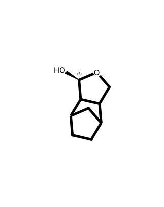 O[C@H]1OCC2C3CCC(C3)C21